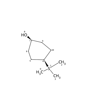 CS(C)(C)[C@H]1CC[C@@H](O)CC1